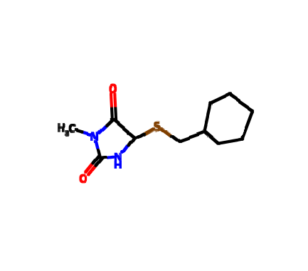 CN1C(=O)NC(SCC2CCCCC2)C1=O